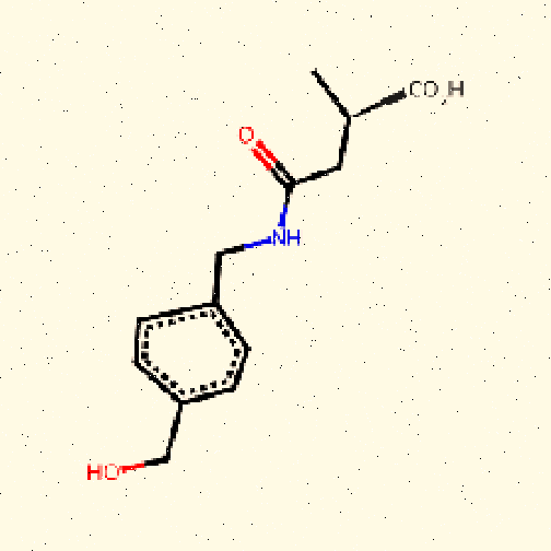 C[C@H](CC(=O)NCc1ccc(CO)cc1)C(=O)O